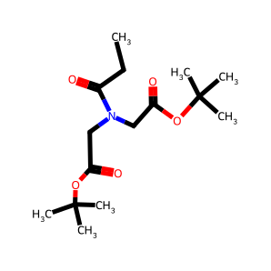 CCC(=O)N(CC(=O)OC(C)(C)C)CC(=O)OC(C)(C)C